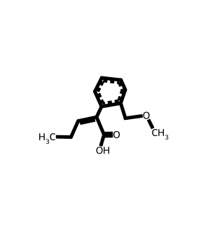 CCC=C(C(=O)O)c1ccccc1COC